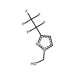 OCn1ccc(C(F)(F)C(F)(F)F)n1